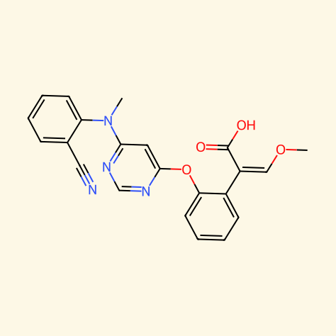 COC=C(C(=O)O)c1ccccc1Oc1cc(N(C)c2ccccc2C#N)ncn1